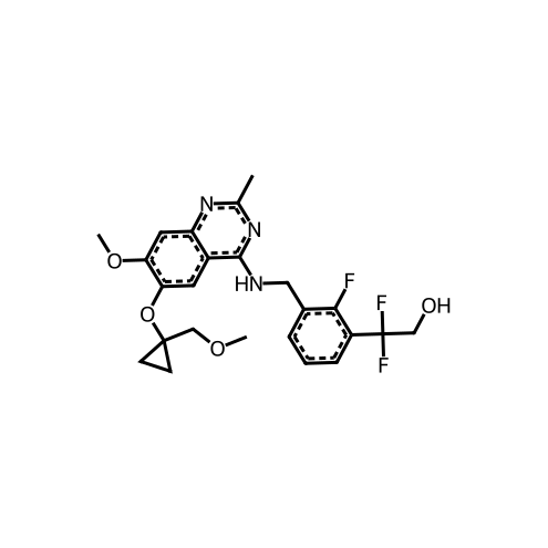 COCC1(Oc2cc3c(NCc4cccc(C(F)(F)CO)c4F)nc(C)nc3cc2OC)CC1